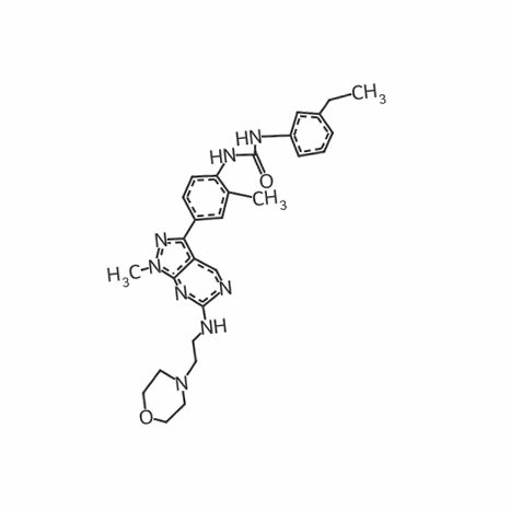 CCc1cccc(NC(=O)Nc2ccc(-c3nn(C)c4nc(NCCN5CCOCC5)ncc34)cc2C)c1